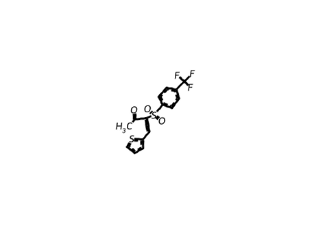 CC(=O)C(=Cc1cccs1)S(=O)(=O)c1ccc(C(F)(F)F)cc1